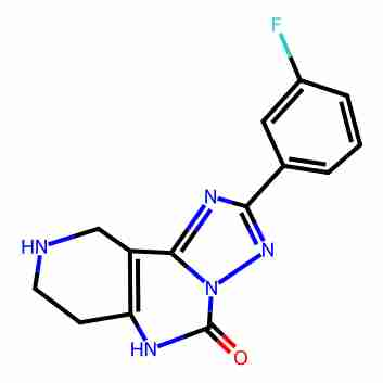 O=c1[nH]c2c(c3nc(-c4cccc(F)c4)nn13)CNCC2